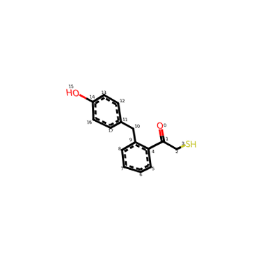 O=C(CS)c1ccccc1Cc1ccc(O)cc1